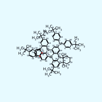 CC(C)(C)c1ccc(N(c2ccc(C(C)(C)C)cc2)c2cc3c4c(c2)N2c5c(cc(C(C)(C)C)cc5C5(C)CCCCC25C)B4c2ccc4c(sc5cc(C(C)(C)C)ccc54)c2N3c2ccc(C(C)(C)C)cc2-c2ccccc2)cc1